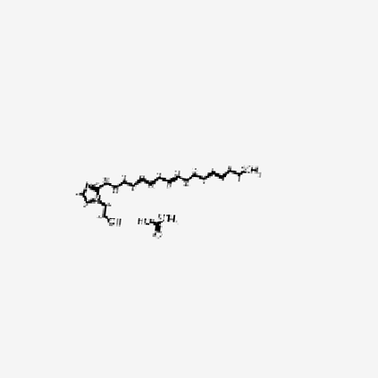 CC(=O)O.CCCCCCCC/C=C/CCCCCCCC1=NCCN1CCO